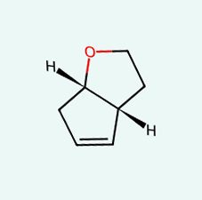 C1=C[C@H]2CCO[C@H]2C1